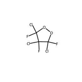 FC1(Cl)OOC(F)(Cl)C1(F)Cl